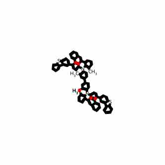 Cc1cc(-c2ccc(N(c3ccc(-c4ccc5sc6ccccc6c5c4)cc3)c3c(C)cccc3-c3ccc4ccccc4c3)c(C)c2)ccc1N(c1ccc(-c2ccc3sc4ccccc4c3c2)cc1)c1c(C)cccc1-c1ccc2ccccc2c1